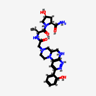 CC(C)(C)[C@H](NC(=O)CN1CCN2c3cc(-c4ccccc4O)nnc3NCC2C1)C(=O)N1C[C@H](O)C[C@H]1C(N)=O